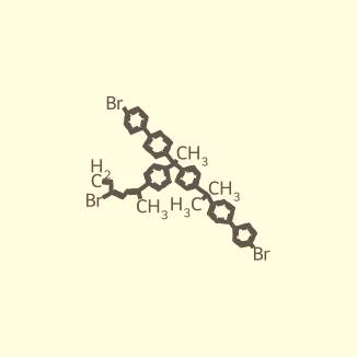 C=C/C(Br)=C\C=C(/C)c1ccc(C(C)(c2ccc(-c3ccc(Br)cc3)cc2)c2ccc(C(C)(C)c3ccc(-c4ccc(Br)cc4)cc3)cc2)cc1